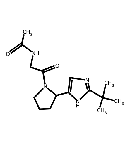 CC(=O)NCC(=O)N1CCCC1c1cnc(C(C)(C)C)[nH]1